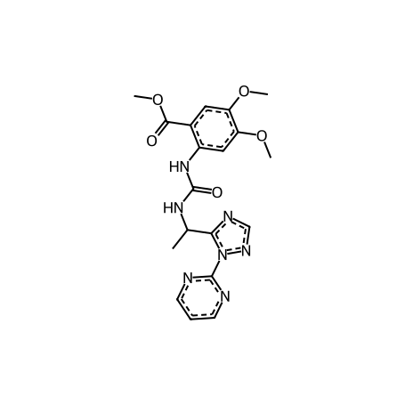 COC(=O)c1cc(OC)c(OC)cc1NC(=O)NC(C)c1ncnn1-c1ncccn1